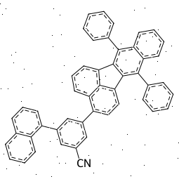 N#Cc1cc(-c2cccc3ccccc23)cc(-c2ccc3c4c(cccc24)-c2c-3c(-c3ccccc3)c3ccccc3c2-c2ccccc2)c1